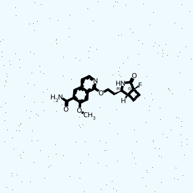 COc1cc2c(OCC[C@H]3NC(=O)[C@]4(F)CC[C@H]34)nccc2cc1C(N)=O